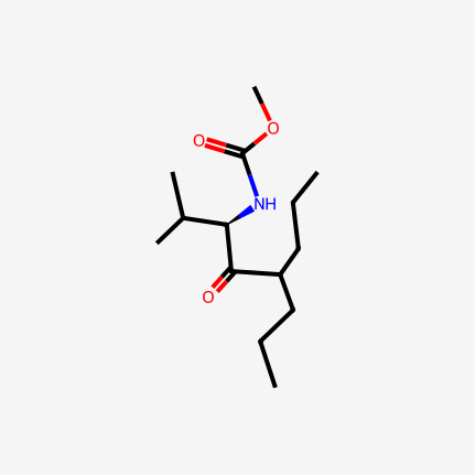 CCCC(CCC)C(=O)[C@H](NC(=O)OC)C(C)C